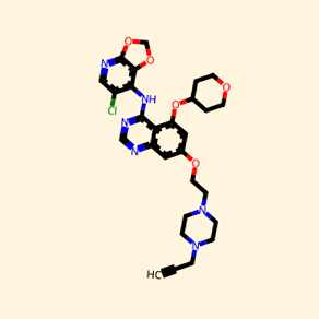 C#CCN1CCN(CCOc2cc(OC3CCOCC3)c3c(Nc4c(Cl)cnc5c4OCO5)ncnc3c2)CC1